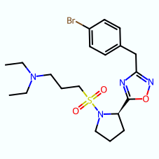 CCN(CC)CCCS(=O)(=O)N1CCC[C@@H]1c1nc(Cc2ccc(Br)cc2)no1